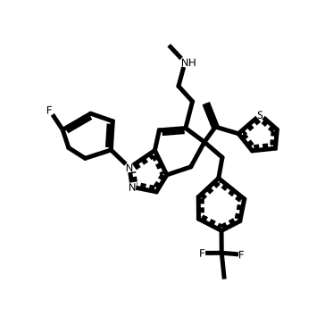 C=C(c1cccs1)C1(Cc2ccc(C(C)(F)F)cc2)Cc2cnn(C3=CC=C(F)CC3)c2C=C1CCNC